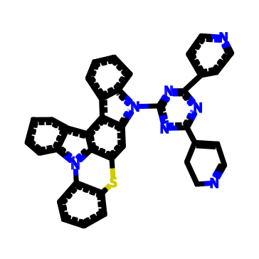 C1=NCCC(c2nc(-c3ccncc3)nc(-n3c4ccccc4c4c5c6ccccc6n6c5c(cc43)Sc3ccccc3-6)n2)=C1